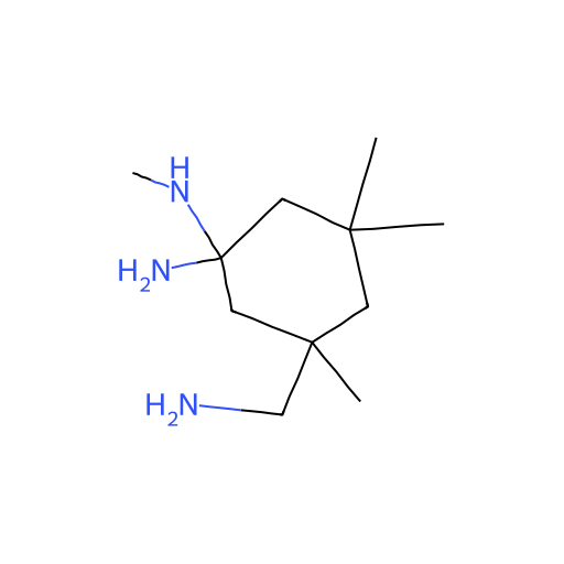 CNC1(N)CC(C)(C)CC(C)(CN)C1